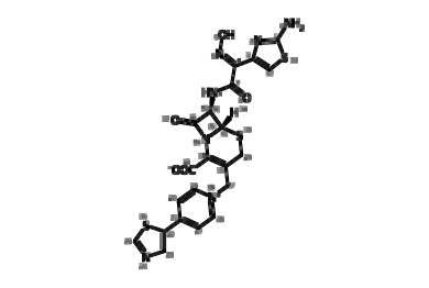 Nc1nc(C(=NO)C(=O)N[C@@H]2C(=O)N3C(C(=O)[O-])=C(C[n+]4ccc(-c5cncs5)cc4)CS[C@@H]23)cs1